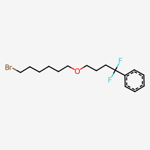 FC(F)(CCCOCCCCCCBr)c1ccccc1